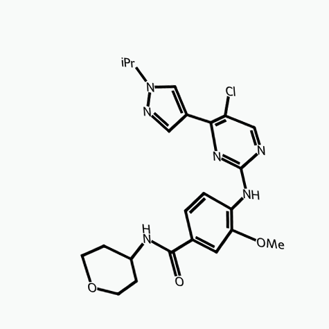 COc1cc(C(=O)NC2CCOCC2)ccc1Nc1ncc(Cl)c(-c2cnn(C(C)C)c2)n1